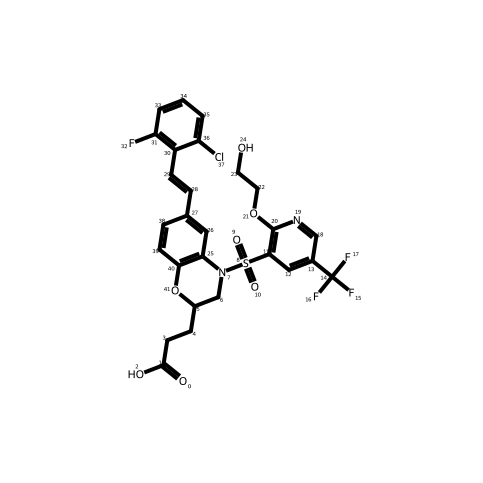 O=C(O)CCC1CN(S(=O)(=O)c2cc(C(F)(F)F)cnc2OCCO)c2cc(C=Cc3c(F)cccc3Cl)ccc2O1